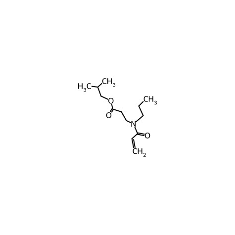 C=CC(=O)N(CCC)CCC(=O)OCC(C)C